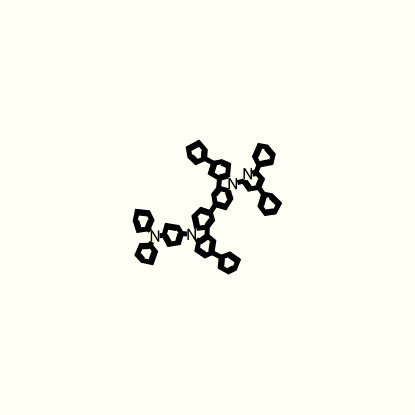 c1ccc(-c2cc(-c3ccccc3)nc(-n3c4ccc(-c5ccccc5)cc4c4cc(-c5ccc6c(c5)c5cc(-c7ccccc7)ccc5n6-c5ccc(N(c6ccccc6)c6ccccc6)cc5)ccc43)c2)cc1